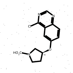 O=C(O)N1CC[C@H](Oc2ccc3ncnc(Cl)c3c2)C1